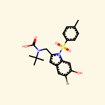 Cc1ccc(S(=O)(=O)n2c(CN(C(=O)O)C(C)(C)C)cc3cc(Br)c(O)cc32)cc1